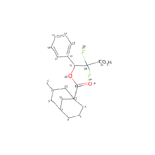 CC1CC2CCCC(C(=O)OC(c3ccccc3)C(F)(F)C(=O)O)(C1)C2